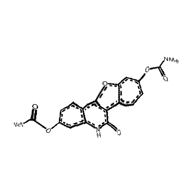 CNC(=O)Oc1ccc2c(c1)[nH]c(=O)c1c3ccc(OC(=O)NC)cc3oc21